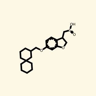 O=S(O)CC1COc2cc(OCC3CCCC4(CCCCC4)C3)ccc21